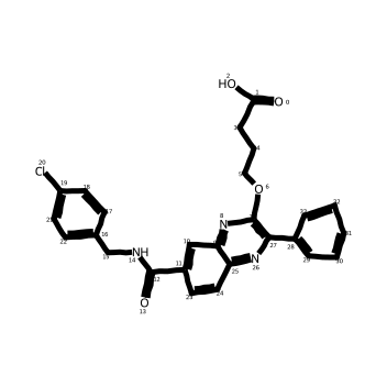 O=C(O)CCCOc1nc2cc(C(=O)NCc3ccc(Cl)cc3)ccc2nc1-c1ccccc1